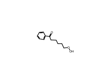 O=C(CCCCCOO)c1ccccc1